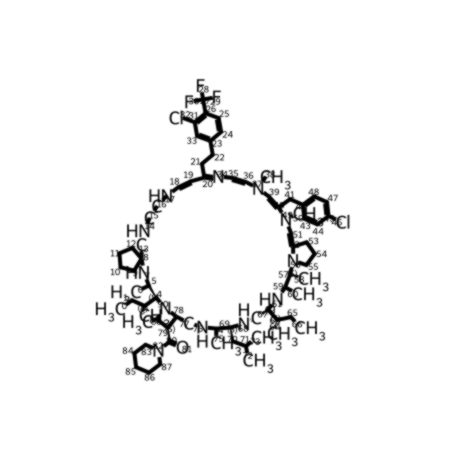 CC[C@H](C)[C@H]1C(C)NC2(CCCC2)CNCCNC=CC(CCc2ccc(C(F)(F)F)c(Cl)c2)=NC=CN(C)C=C(Cc2ccc(Cl)cc2)N(C)C=C2CCCN2[C@@H](C)C(C)N[C@@H]([C@@H](C)CC)CN[C@@H](CC(C)C)C(C)NCC2[C@@H](C(=O)N3CCCCC3)C(C)N21